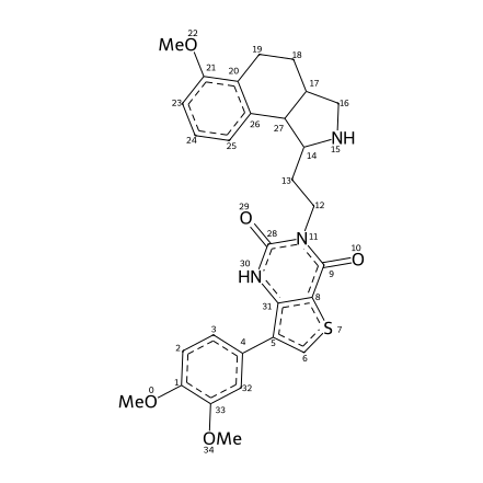 COc1ccc(-c2csc3c(=O)n(CCC4NCC5CCc6c(OC)cccc6C54)c(=O)[nH]c23)cc1OC